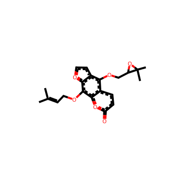 CC(C)=CCOc1c2occc2c(OCC2OC2(C)C)c2ccc(=O)oc12